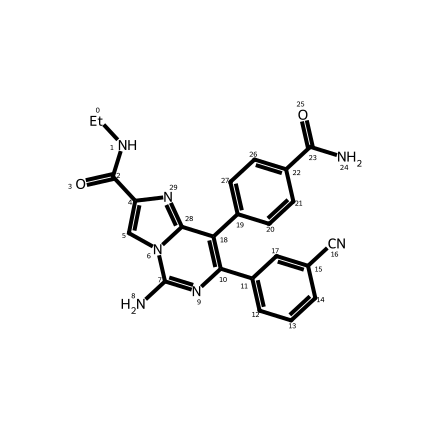 CCNC(=O)c1cn2c(N)nc(-c3cccc(C#N)c3)c(-c3ccc(C(N)=O)cc3)c2n1